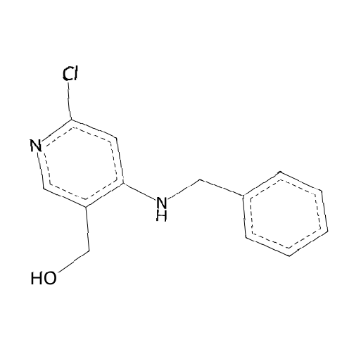 OCc1cnc(Cl)cc1NCc1ccccc1